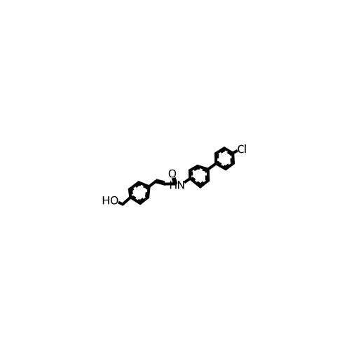 O=C(C=Cc1ccc(CO)cc1)Nc1ccc(-c2ccc(Cl)cc2)cc1